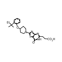 CCC(C)(C)c1ccccc1OC1CCN(c2nc3nc(CCC(=O)O)[nH]c(=O)c3s2)CC1